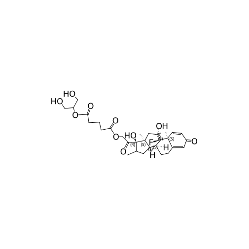 CC1C[C@H]2[C@@H]3CCC4=CC(=O)C=C[C@]4(C)[C@@]3(F)[C@@H](O)C[C@]2(C)[C@@]1(O)C(=O)COC(=O)CCCC(=O)OC(CO)CO